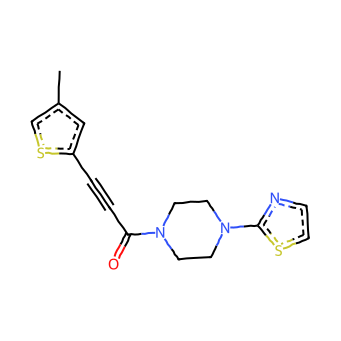 Cc1csc(C#CC(=O)N2CCN(c3nccs3)CC2)c1